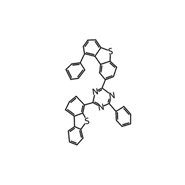 c1ccc(-c2nc(-c3ccc4sc5cccc(-c6ccccc6)c5c4c3)nc(-c3cccc4c3sc3ccccc34)n2)cc1